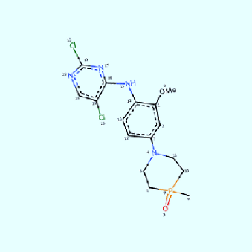 COc1cc(N2CCP(C)(=O)CC2)ccc1Nc1nc(Cl)ncc1Cl